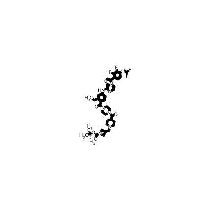 CCc1cc(Nc2nccn3c(-c4ccc(OC(F)F)c(F)c4F)cnc23)ccc1C(=O)N1CCN(C(=O)C2CCN(CC3CN(C(=O)OC(C)(C)C)C3)CC2)CC1